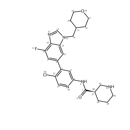 O=C(Nc1cc(-c2cc(F)c3ncn(CC4CCOCC4)c3c2)c(Cl)cn1)[C@@H]1CCCNC1